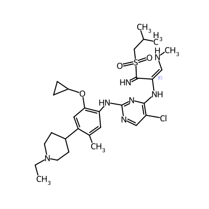 CCN1CCC(c2cc(OC3CC3)c(Nc3ncc(Cl)c(N/C(=C/NC)C(=N)S(=O)(=O)CC(C)C)n3)cc2C)CC1